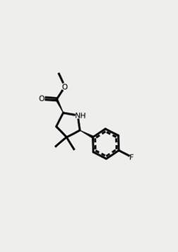 COC(=O)[C@@H]1CC(C)(C)[C@H](c2ccc(F)cc2)N1